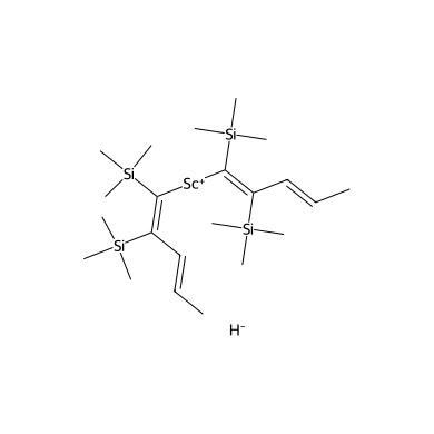 CC=CC(=[C]([Sc+][C](=C(C=CC)[Si](C)(C)C)[Si](C)(C)C)[Si](C)(C)C)[Si](C)(C)C.[H-]